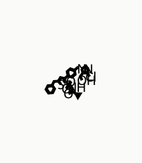 O=C(NS(=O)(=O)c1sc(Cc2ccccc2)cc1-c1ccc(Cn2cnc(Cl)c2CO)cc1)C1CC1